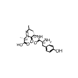 CC(C)C[C@H](NC(=O)[C@@H](N)Cc1ccc(O)cc1)C(=O)N[C@@H](C)C(=O)O